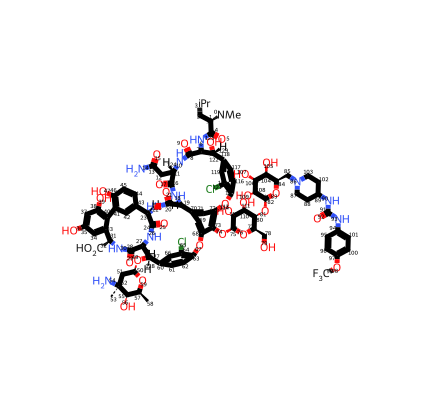 CN[C@H](CC(C)C)C(=O)NC1C(=O)N[C@@H](CC(N)=O)C(=O)N[C@H]2C(=O)N[C@H]3C(=O)N[C@H](C(=O)N[C@@H](C(=O)O)c4cc(O)cc(O)c4-c4cc3ccc4O)[C@H](O[C@H]3C[C@](C)(N)[C@@H](O)[C@H](C)O3)c3ccc(c(Cl)c3)Oc3cc2cc(c3O[C@@H]2O[C@H](CO)[C@@H](O[C@@H]3O[C@H](CN4CCC(NC(=O)Nc5ccc(OC(F)(F)F)cc5)CC4)[C@H](O)[C@H](O)[C@H]3O)[C@H](O)[C@H]2O)Oc2ccc(cc2Cl)[C@H]1O